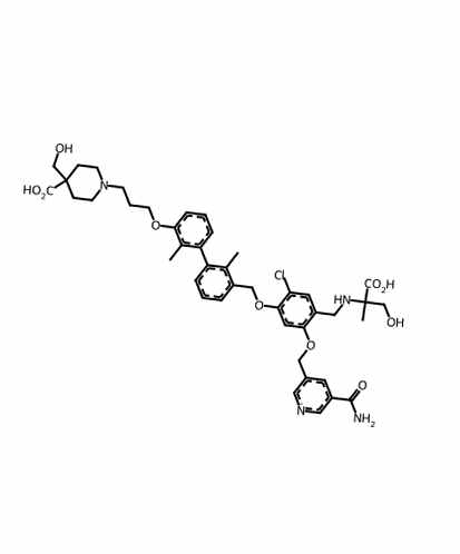 Cc1c(COc2cc(OCc3cncc(C(N)=O)c3)c(CNC(C)(CO)C(=O)O)cc2Cl)cccc1-c1cccc(OCCCN2CCC(CO)(C(=O)O)CC2)c1C